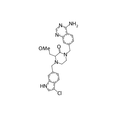 COCC1C(=O)N(Cc2ccc3c(N)ncnc3c2)CCN1Cc1ccc2c(Cl)c[nH]c2c1